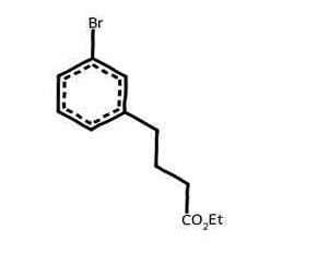 CCOC(=O)CCCc1cccc(Br)c1